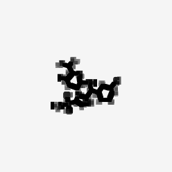 NS(=O)(=O)c1c[nH]c(C(Nc2ccc(F)c(C(F)F)n2)c2cccc(Cl)c2)n1